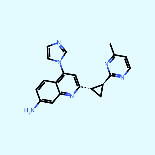 Cc1ccnc([C@H]2C[C@@H]2c2cc(-n3ccnc3)c3ccc(N)cc3n2)n1